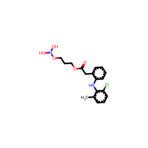 Cc1cccc(Cl)c1Nc1ccccc1CC(=O)OCCCON(O)O